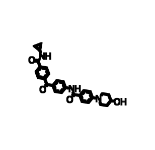 O=C(Nc1ccc(C(=O)c2ccc(C(=O)NC3CC3)cc2)cc1)c1ccc(N2CCC(O)CC2)cc1